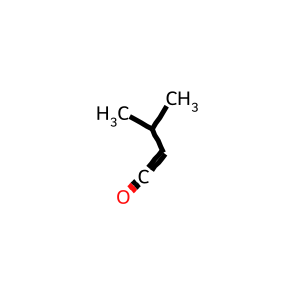 CC(C)C=C=O